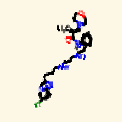 C=C(CN1CCOCC1)C(=O)NC[C@H](Cc1ccccc1)NCCCNCCCc1cn2cc(Cl)ccc2n1